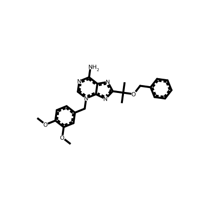 COc1ccc(Cn2cnc(N)c3nc(C(C)(C)OCc4ccccc4)nc2-3)cc1OC